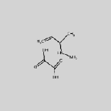 C=CC(C)NN.O=C(O)C(=O)O